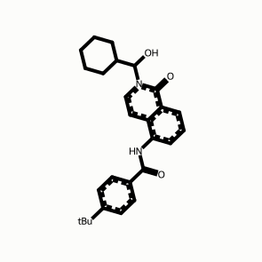 CC(C)(C)c1ccc(C(=O)Nc2cccc3c(=O)n(C(O)C4CCCCC4)ccc23)cc1